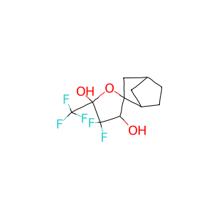 OC1C2(CC3CCC2C3)OC(O)(C(F)(F)F)C1(F)F